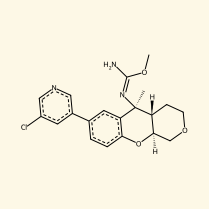 CO/C(N)=N\[C@]1(C)c2cc(-c3cncc(Cl)c3)ccc2O[C@@H]2COCC[C@H]21